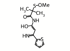 COSC(C)(C)C(=O)N/C(O)=C/C(=N)c1cccs1